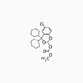 COC(=O)OC1Oc2ccc(Cl)cc2C(C2CCCCC2)(C2CCCCC2)O1